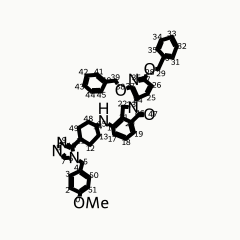 COc1ccc(Cn2cnnc2C2CCC(Nc3cccc4c3CN(c3ccc(OCc5ccccc5)nc3OCc3ccccc3)C4=O)CC2)cc1